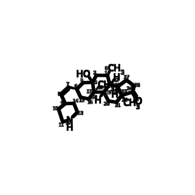 C[C@@H]1C[C@@]2(O)C[C@H](/C=C\C3CCNCC3)CC[C@]2(C)[C@H]2CC[C@]3(C)C(=O)CC[C@H]3[C@H]12